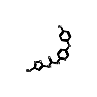 CC(=O)c1ccc(Oc2ccc(NC(=O)Nc3cc(C(C)(C)C)no3)nc2)cc1